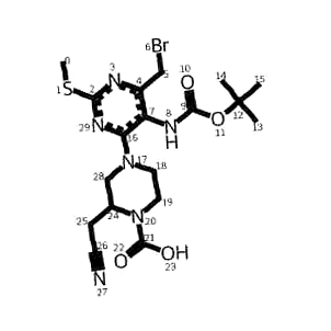 CSc1nc(CBr)c(NC(=O)OC(C)(C)C)c(N2CCN(C(=O)O)C(CC#N)C2)n1